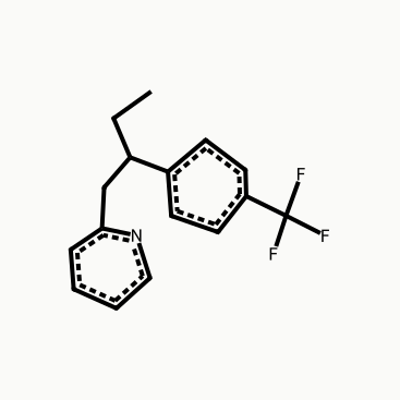 CCC(Cc1ccccn1)c1ccc(C(F)(F)F)cc1